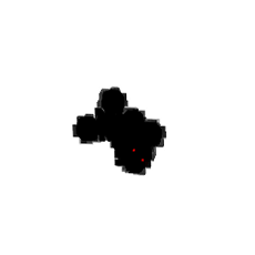 c1ccc(-c2nc(-c3ccccc3)nc(-c3cc(C(c4ccccc4)(c4ccccc4)c4ccccc4)c4c(c3)sc3ccccc34)n2)cc1